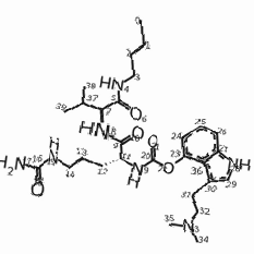 CCCCNC(=O)C(NC(=O)[C@@H](CCCNC(N)=O)NC(=O)Oc1cccc2[nH]cc(CCN(C)C)c12)C(C)C